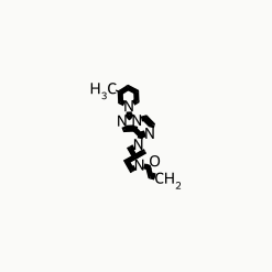 C=CC(=O)N1CCC12CN(c1nccn3c(N4CCC[C@@H](C)C4)ncc13)C2